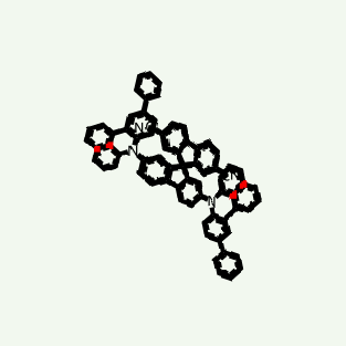 N#Cc1ccc2c(c1)C1(c3cc(C#N)ccc3-2)c2cc(N(c3ccccc3)c3ccc(-c4ccccc4)cc3-c3ccccc3)ccc2-c2ccc(N(c3ccccc3)c3ccc(-c4ccccc4)cc3-c3ccccc3)cc21